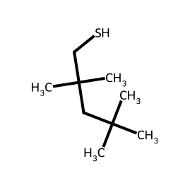 CC(C)(C)CC(C)(C)CS